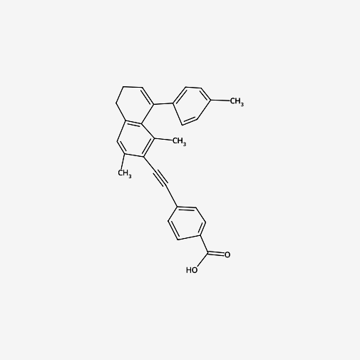 Cc1ccc(C2=CCCc3cc(C)c(C#Cc4ccc(C(=O)O)cc4)c(C)c32)cc1